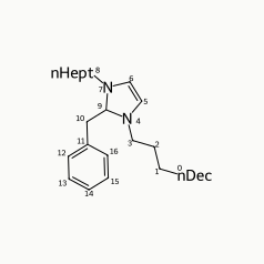 CCCCCCCCCCCCCN1C=CN(CCCCCCC)C1Cc1ccccc1